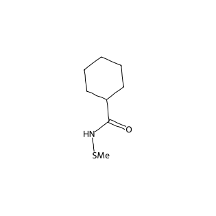 CSNC(=O)C1CCCCC1